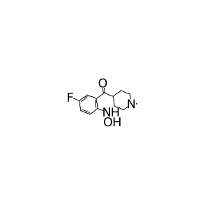 O=C(c1cc(F)ccc1NO)C1CC[N]CC1